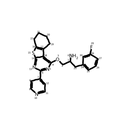 NC(COc1nc(-c2ccncc2)nc2sc3c(c12)CCCC3)Cc1cccc(F)c1